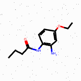 CCCC(=O)Nc1ccc(OCC)cc1N